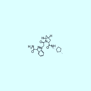 C[C@H]1CC[C@@H](CNC(=O)[C@@H]2C[C@H]3C[C@H]3N2C(=O)Cn2nc(C(N)=O)c3ccccc32)C1